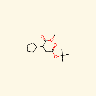 COC(=O)C(CC(=O)OC(C)(C)C)C1CCCC1